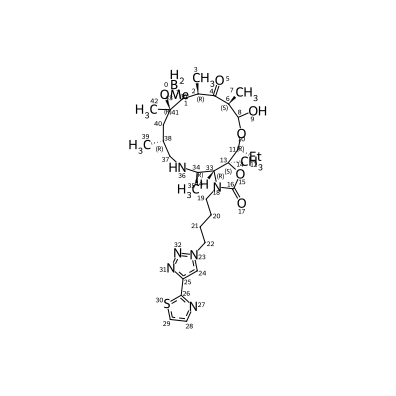 B[C@@H]1[C@@H](C)C(=O)[C@@H](C)C(O)O[C@H](CC)[C@@]2(C)OC(=O)N(CCCCn3cc(-c4nccs4)nn3)[C@@H]2[C@@H](C)NC[C@H](C)C[C@@]1(C)OC